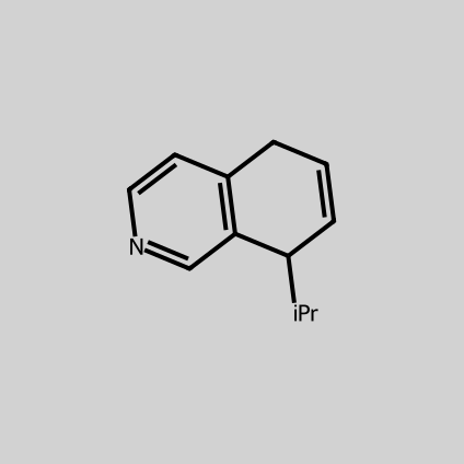 CC(C)C1C=CCc2ccncc21